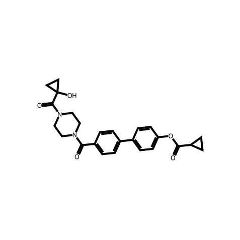 O=C(Oc1ccc(-c2ccc(C(=O)N3CCN(C(=O)C4(O)CC4)CC3)cc2)cc1)C1CC1